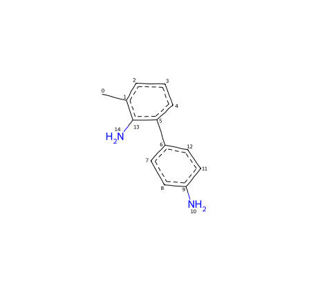 Cc1cccc(-c2ccc(N)cc2)c1N